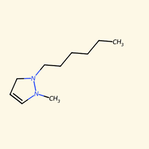 CCCCCCN1CC=CN1C